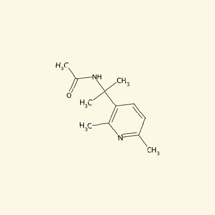 CC(=O)NC(C)(C)c1ccc(C)nc1C